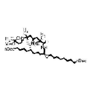 CCCCCCCCCCCCCCCCCCOC(CCCCCCCCCCCCCCCCCC)CNC(=O)C(C)(C)CC(N)CC(C)(C)OCCC(C)(C)OC